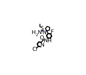 CCS/C(N)=N\C1(c2cc(NC(=O)c3ccc(Cl)cn3)ccc2F)CCCC1